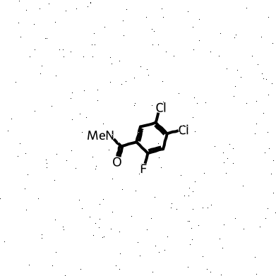 CNC(=O)c1cc(Cl)c(Cl)cc1F